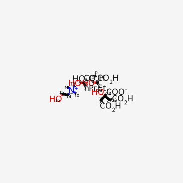 CC(=O)O.CCC(O)C(=O)O.CCCC(O)C(=O)O.C[N+](C)(C)CCO.O=C(O)CC(O)(CC(=O)O)C(=O)[O-]